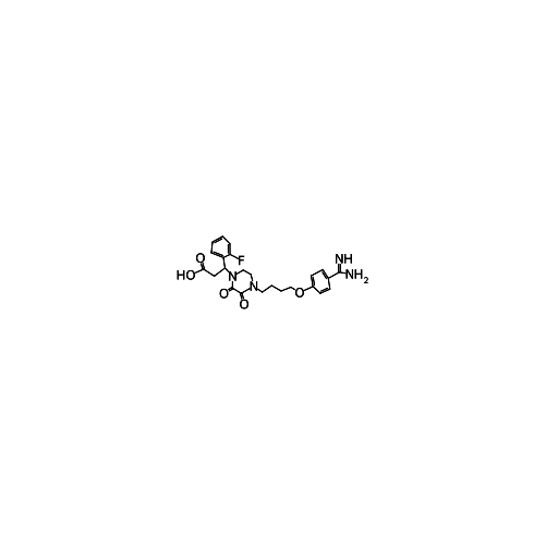 N=C(N)c1ccc(OCCCCN2CCN(C(CC(=O)O)c3ccccc3F)C(=O)C2=O)cc1